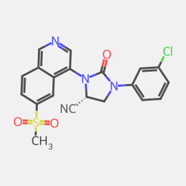 CS(=O)(=O)c1ccc2cncc(N3C(=O)N(c4cccc(Cl)c4)C[C@@H]3C#N)c2c1